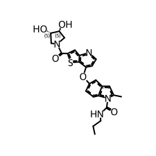 CCCNC(=O)n1c(C)cc2cc(Oc3ccnc4cc(C(=O)N5C[C@H](O)[C@@H](O)C5)sc34)ccc21